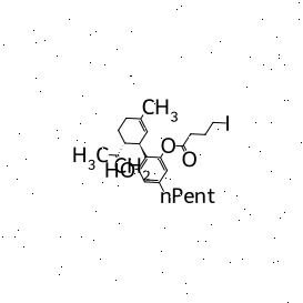 C=C(C)[C@@H]1CCC(C)=C[C@H]1c1c(O)cc(CCCCC)cc1OC(=O)CCCI